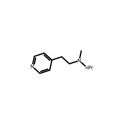 CCCN(C)CCc1ccncc1